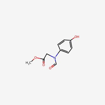 COC(=O)CN(C=O)c1ccc(O)cc1